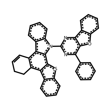 C1=Cc2c(c3c4ccccc4sc3c3c2c2ccccc2n3-c2nc(-c3ccccc3)c3oc4ccccc4c3n2)CC1